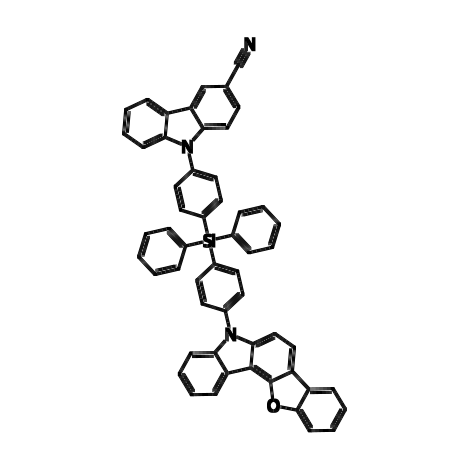 N#Cc1ccc2c(c1)c1ccccc1n2-c1ccc([Si](c2ccccc2)(c2ccccc2)c2ccc(-n3c4ccccc4c4c5oc6ccccc6c5ccc43)cc2)cc1